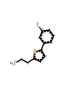 CCCc1ccc(-c2cccc(F)c2)s1